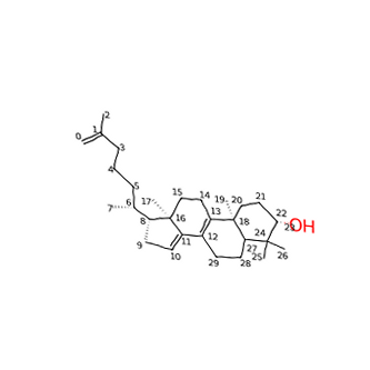 C=C(C)CCC[C@@H](C)[C@H]1CC=C2C3=C(CC[C@@]21C)[C@@]1(C)CC[C@H](O)C(C)(C)C1CC3